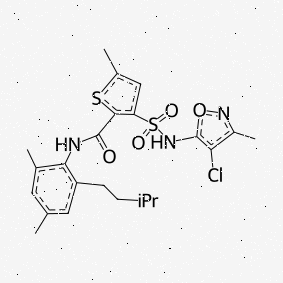 Cc1cc(C)c(NC(=O)c2sc(C)cc2S(=O)(=O)Nc2onc(C)c2Cl)c(CCC(C)C)c1